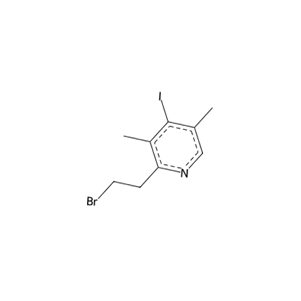 Cc1cnc(CCBr)c(C)c1I